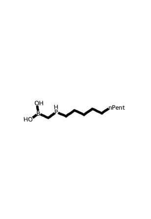 CCCCCCCCCCPCB(O)O